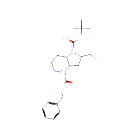 CCC1CC2C(CCCN2C(=O)OCc2ccccc2)N1C(=O)OC(C)(C)C